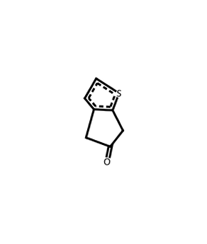 O=C1Cc2ccsc2C1